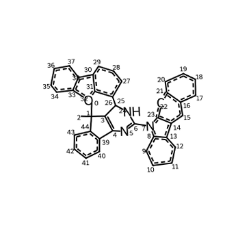 CC1(C)C2=C(N=C(n3c4ccccc4c4cc5ccccc5cc43)NC2c2cccc3c2oc2ccccc23)c2ccccc21